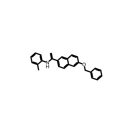 C=C(Nc1ccccc1C)c1ccc2cc(OCc3ccccc3)ccc2c1